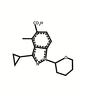 Cc1c(C(=O)O)ccc2c1c(C1CC1)nn2C1CCCCO1